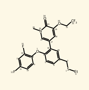 CCSCc1ccc(Oc2ccc(F)cc2F)c(-c2cc(OCC(F)(F)F)c(=O)n(C)c2)c1